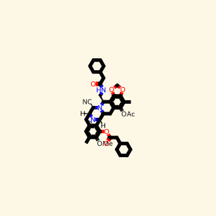 COc1c(C)cc2c(c1OC(=O)CC1CCCCC1)[C@@H]1C3Cc4c(OC(C)=O)c(C)c5c(c4[C@H](CNC(=O)CC4CCCCC4)N3[C@@H](C#N)[C@H](C2)N1C)OCO5